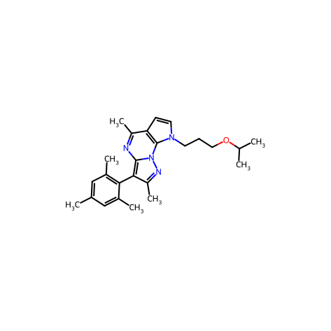 Cc1cc(C)c(-c2c(C)nn3c2nc(C)c2ccn(CCCOC(C)C)c23)c(C)c1